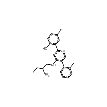 CCC(N)CNc1nc(-c2cc(Cl)ccc2O)ncc1-c1ccccc1C